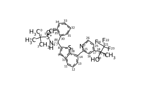 CC(C)(C)[S+]([O-])N[C@@H](c1cc2cccc(-c3cc([C@@](C)(O)C(F)(F)F)ccn3)c2s1)c1ccccc1Cl